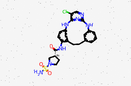 NS(=O)(=O)N1CC[C@@H](C(=O)Nc2ccc3cc2CCc2cccc(c2)Nc2ncc(Cl)c(n2)N3)C1